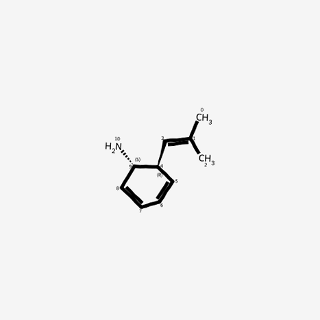 CC(C)=C[C@H]1C=CC=C[C@@H]1N